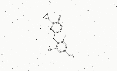 Nc1cc(Cl)c(Cc2ccc(=O)n(C3CC3)n2)c(Cl)c1